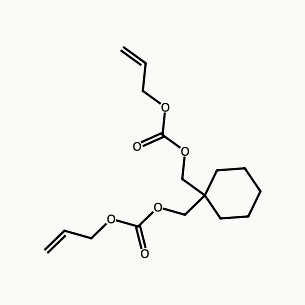 C=CCOC(=O)OCC1(COC(=O)OCC=C)CCCCC1